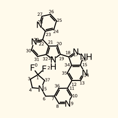 FC1(F)CCN(Cc2cncc(-c3cnc4[nH]nc(-c5cc6c(-c7ccccn7)nccc6[nH]5)c4c3)c2)C1